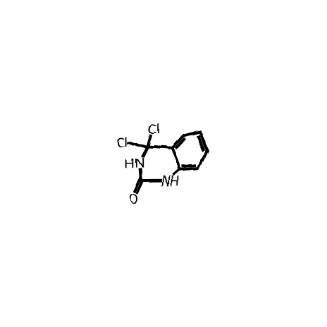 O=C1Nc2ccccc2C(Cl)(Cl)N1